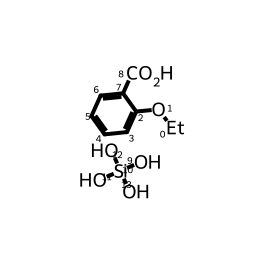 CCOc1ccccc1C(=O)O.O[Si](O)(O)O